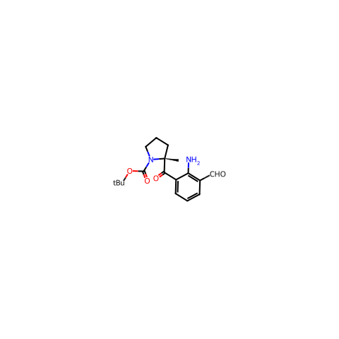 CC(C)(C)OC(=O)N1CCC[C@]1(C)C(=O)c1cccc(C=O)c1N